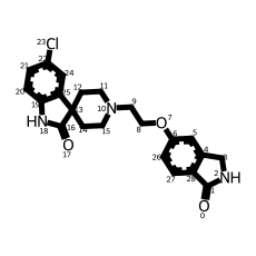 O=C1NCc2cc(OCCN3CCC4(CC3)C(=O)Nc3ccc(Cl)cc34)ccc21